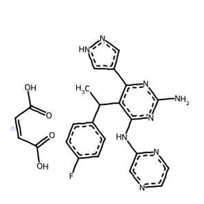 CC(c1ccc(F)cc1)c1c(Nc2cnccn2)nc(N)nc1-c1cn[nH]c1.O=C(O)/C=C\C(=O)O